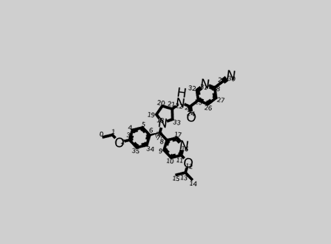 CCOc1ccc([C@H](c2ccc(OC(C)C)nc2)N2CCC(NC(=O)c3ccc(C#N)nc3)C2)cc1